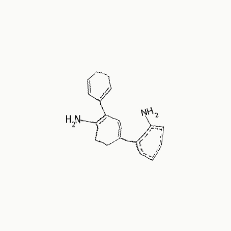 NC1=C(C2=CCCC=C2)C=C(c2ccccc2N)CC1